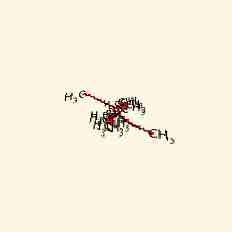 CCCCCCCCCCCCCCCCc1cc2c(cc(CCCCCCCCCCCCCCCC)c3cc([Si](C(C)C)(C(C)C)C(C)C)sc32)c2sc([Si](C(C)C)(C(C)C)C(C)C)cc12